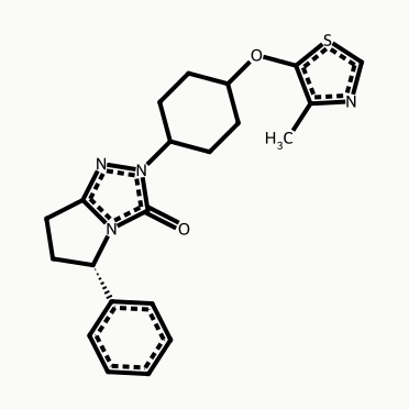 Cc1ncsc1OC1CCC(n2nc3n(c2=O)[C@H](c2ccccc2)CC3)CC1